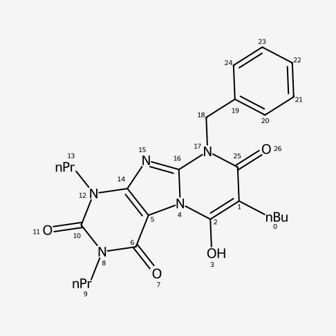 CCCCc1c(O)n2c3c(=O)n(CCC)c(=O)n(CCC)c3nc2n(Cc2ccccc2)c1=O